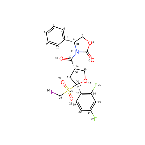 O=C1OC[C@@H](c2ccccc2)N1C(=O)[C@@H]1CO[C@@](c2ccc(F)cc2F)(S(=O)(=O)CI)C1